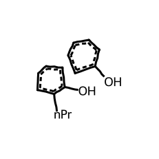 CCCc1ccccc1O.Oc1ccccc1